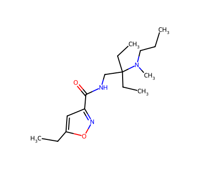 CCCN(C)C(CC)(CC)CNC(=O)c1cc(CC)on1